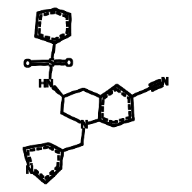 N#Cc1ccc2c(c1)C[C@H](NS(=O)(=O)c1ccccc1)CN2Cc1ccncc1